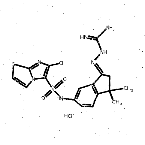 CC1(C)CC(=NNC(=N)N)c2cc(NS(=O)(=O)c3c(Cl)nc4sccn34)ccc21.Cl